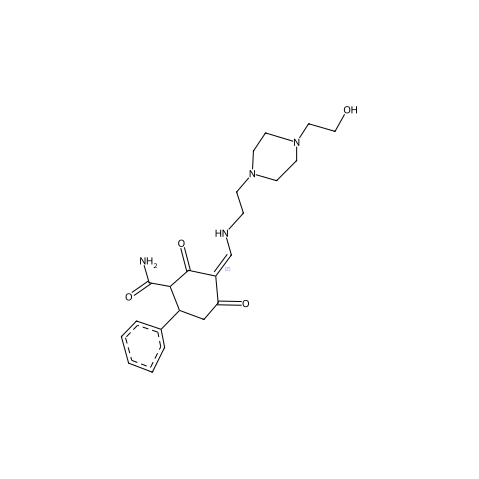 NC(=O)C1C(=O)/C(=C\NCCN2CCN(CCO)CC2)C(=O)CC1c1ccccc1